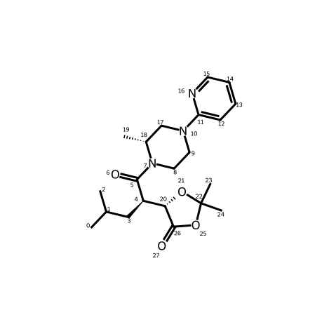 CC(C)C[C@@H](C(=O)N1CCN(c2ccccn2)C[C@H]1C)[C@@H]1OC(C)(C)OC1=O